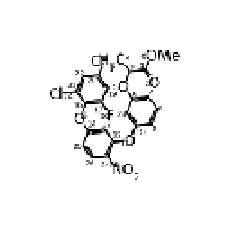 COC(=O)C(C)Oc1cccc(Oc2cc(Oc3c(F)cc(C(F)(F)F)cc3Cl)ccc2[N+](=O)[O-])c1